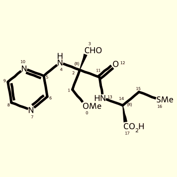 COC[C@](C=O)(Nc1cnccn1)C(=O)N[C@@H](CSC)C(=O)O